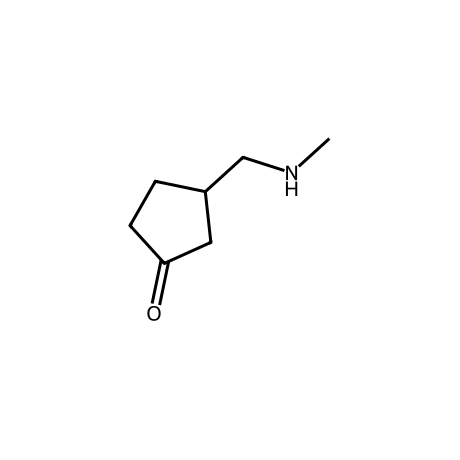 CNCC1CCC(=O)C1